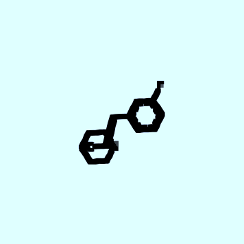 Fc1cccc(C=C2CC3CCN2CC3)c1